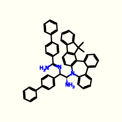 CC1(C)c2ccccc2-c2ccc3c(c21)-c1ccccc1-c1ccccc1N3[C@H](N)C(/N=C(\N)c1ccc(-c2ccccc2)cc1)c1ccc(-c2ccccc2)cc1